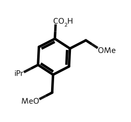 COCc1cc(COC)c(C(C)C)cc1C(=O)O